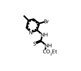 CCOC(=O)NC(=S)Nc1ncc(C)cc1Br